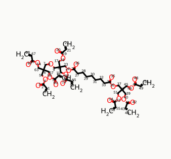 C=CC(=O)OCC(COCC(COC(=O)C=C)(COC(=O)C=C)COC(=O)CCCCCCCC(=O)OCC(COC(=O)C=C)(COC(=O)C=C)COC(=O)C=C)(COC(=O)C=C)COC(=O)C=C